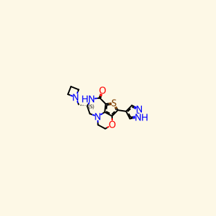 O=C1N[C@@H](CN2CCC2)CN2CCOc3c(-c4cn[nH]c4)sc1c32